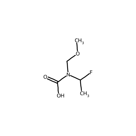 COCN(C(=O)O)C(C)F